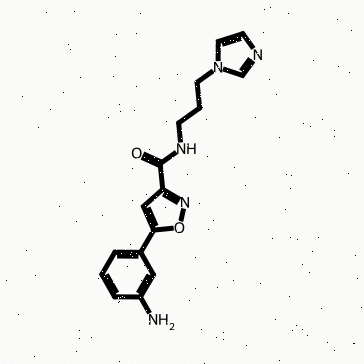 Nc1cccc(-c2cc(C(=O)NCCCn3ccnc3)no2)c1